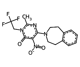 Cc1nc(N2CCc3ccccc3CC2)c([N+](=O)[O-])c(=O)n1CC(F)(F)F